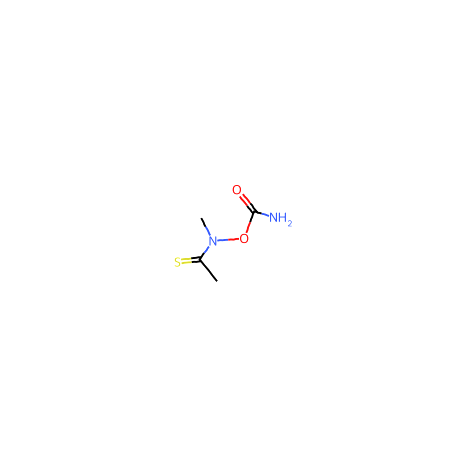 CC(=S)N(C)OC(N)=O